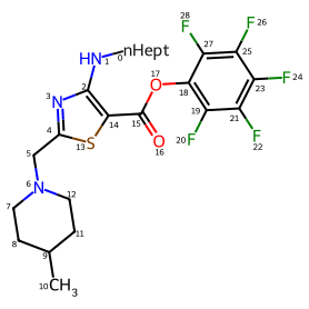 CCCCCCCNc1nc(CN2CCC(C)CC2)sc1C(=O)Oc1c(F)c(F)c(F)c(F)c1F